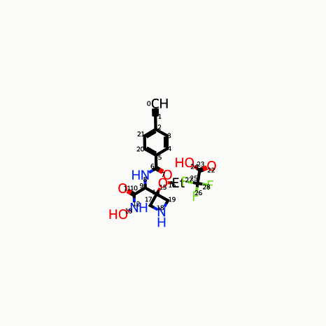 C#Cc1ccc(C(=O)NC(C(=O)NO)C2(OCC)CNC2)cc1.O=C(O)C(F)(F)F